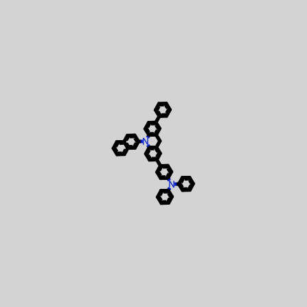 c1ccc(-c2ccc3c(c2)Cc2cc(-c4ccc(N(c5ccccc5)c5ccccc5)cc4)ccc2N3c2ccc3ccccc3c2)cc1